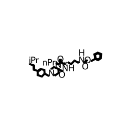 CCCN1C(=O)[C@H](CCCCNC(=O)OCc2ccccc2)NC(=O)C12CCN(CC1CC=C(C=CCC(C)C)CC1)CC2